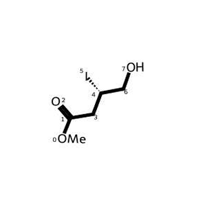 COC(=O)C[C@H](I)CO